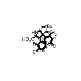 CC(C)(C)C[C@H]1N[C@H](C(=O)O)[C@H](c2cccc(Cl)c2F)[C@@]1(CN)c1cnc(Cl)cc1Cl